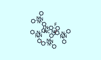 N#Cc1c(-n2c3ccc(-c4nc(-c5ccccc5)nc(-c5ccccc5)n4)cc3c3cc(-c4nc(-c5ccccc5)nc(-c5ccccc5)n4)ccc32)ccc(-c2c(F)cccc2F)c1-n1c2ccc(-c3nc(-c4ccccc4)nc(-c4ccccc4)n3)cc2c2cc(-c3nc(-c4ccccc4)nc(-c4ccccc4)n3)ccc21